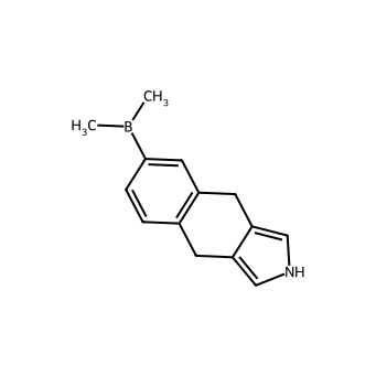 CB(C)c1ccc2c(c1)Cc1c[nH]cc1C2